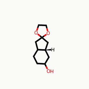 OC1CCC2CC3(C[C@@H]2C1)OCCO3